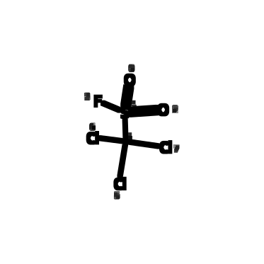 O=S(=O)(F)C(Cl)(Cl)Cl